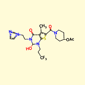 CC(=O)OC1CCN(C(=O)c2sc3c(c2C)C(=O)N(CCn2ccnc2)C(O)N3CCC(F)(F)F)CC1